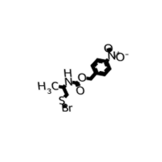 CC(CSBr)NC(=O)OCc1ccc([N+](=O)[O-])cc1